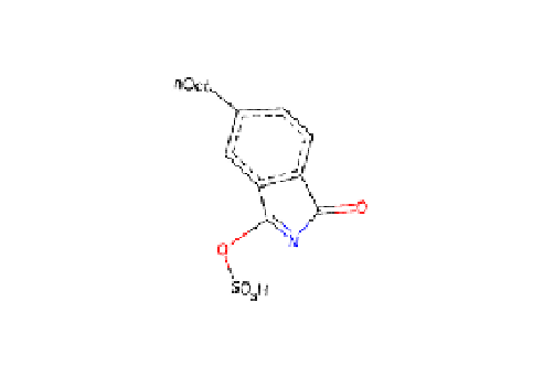 CCCCCCCCc1ccc2c(c1)C(OS(=O)(=O)O)=NC2=O